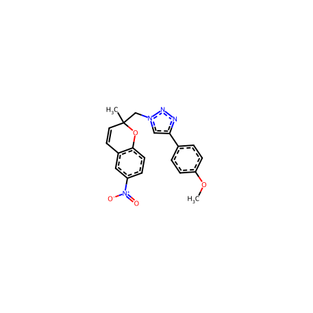 COc1ccc(-c2cn(CC3(C)C=Cc4cc([N+](=O)[O-])ccc4O3)nn2)cc1